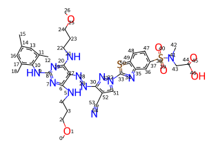 COCCCNc1nc(Nc2c(C)cc(C)cc2C)nc(NCCCOC)c1N=Nc1nn(-c2nc3cc(S(=O)(=O)N(C)CC(=O)O)ccc3s2)cc1C#N